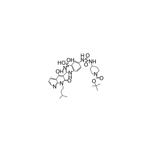 CC(C)CCn1c(=O)c(C2=NS(O)(O)c3cc(NS(=O)(=O)NC4CCN(C(=O)OC(C)(C)C)CC4)ccc3N2)c(O)c2cccnc21